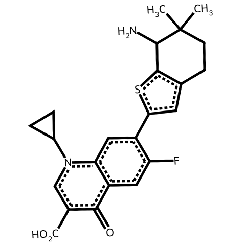 CC1(C)CCc2cc(-c3cc4c(cc3F)c(=O)c(C(=O)O)cn4C3CC3)sc2C1N